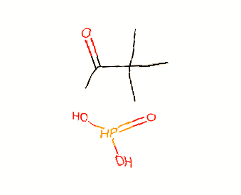 CC(=O)C(C)(C)C.O=[PH](O)O